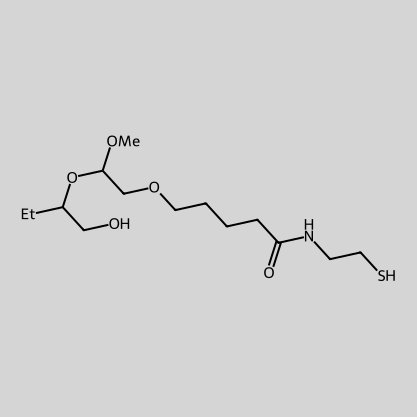 CCC(CO)OC(COCCCCC(=O)NCCS)OC